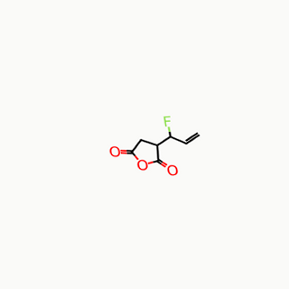 C=CC(F)C1CC(=O)OC1=O